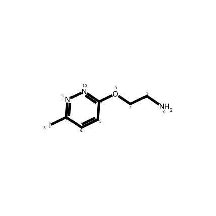 NCCOc1ccc(I)nn1